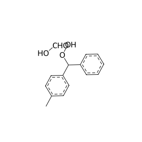 Cc1ccc(C(OO)c2ccccc2)cc1.O=CO